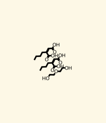 CCCCC(=CC(=O)O)C(=O)O.CCCCC(=CC(=O)O)C(=O)O.OCCOCCO